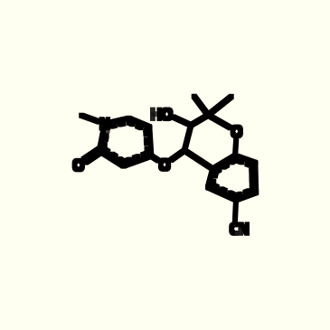 Cn1ccc(OC2c3cc(C#N)ccc3OC(C)(C)C2O)cc1=O